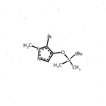 Cn1ncc(O[Si](C)(C)C(C)(C)C)c1Br